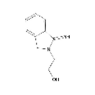 N=C1c2ccccc2CN1CCO